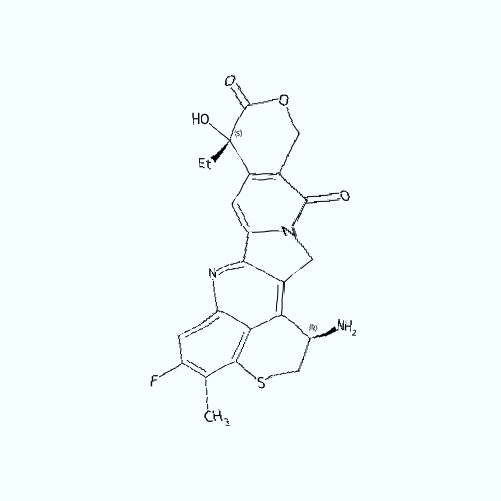 CC[C@@]1(O)C(=O)OCc2c1cc1n(c2=O)Cc2c-1nc1cc(F)c(C)c3c1c2[C@@H](N)CS3